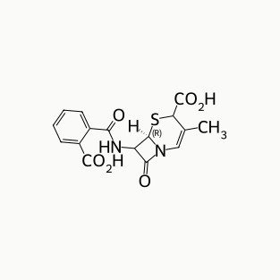 CC1=CN2C(=O)C(NC(=O)c3ccccc3C(=O)O)[C@H]2SC1C(=O)O